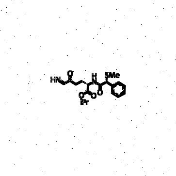 CS[C@H](C(=O)N[C@@H](CCC(=O)C=N)C(=O)OC(C)C)c1ccccc1